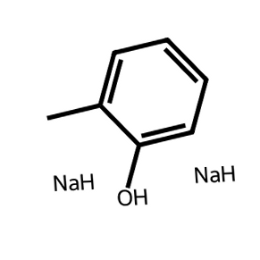 Cc1ccccc1O.[NaH].[NaH]